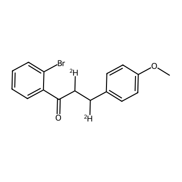 [2H]C(C(=O)c1ccccc1Br)C([2H])c1ccc(OC)cc1